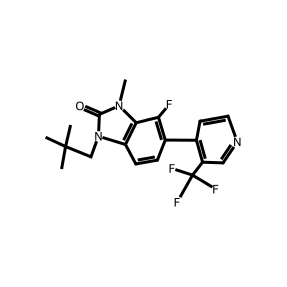 Cn1c(=O)n(CC(C)(C)C)c2ccc(-c3ccncc3C(F)(F)F)c(F)c21